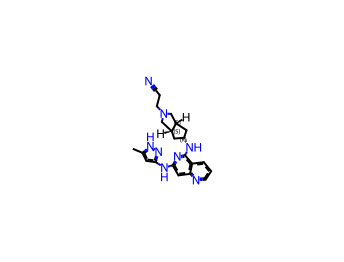 Cc1cc(Nc2cc3ncccc3c(N[C@@H]3C[C@@H]4CN(CCC#N)C[C@@H]4C3)n2)n[nH]1